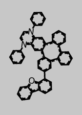 c1ccc(-n2ccn(-c3ccccc3)c3cc4c5ccc(-c6cccc7c6oc6ccccc67)cc5c5ccccc5c5ccccc5c4cc32)cc1